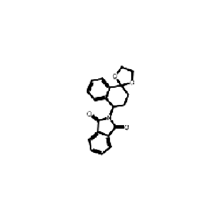 O=C1c2ccccc2C(=O)N1C1CCC2(OCCO2)c2ccccc21